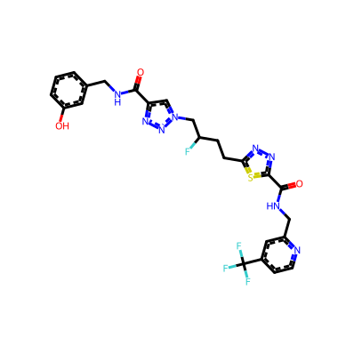 O=C(NCc1cccc(O)c1)c1cn(CC(F)CCc2nnc(C(=O)NCc3cc(C(F)(F)F)ccn3)s2)nn1